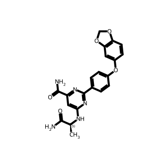 C[C@H](Nc1cc(C(N)=O)nc(-c2ccc(Oc3ccc4c(c3)OCO4)cc2)n1)C(N)=O